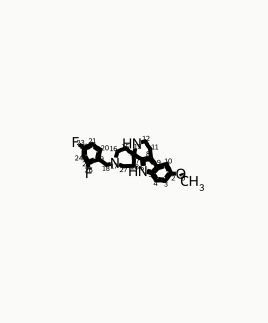 COc1ccc2[nH]c3c(c2c1)CCNC31CCN(Cc2ccc(F)cc2F)CC1